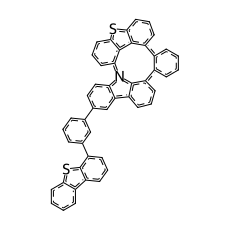 c1cc(-c2ccc3c(c2)c2cccc4c5ccccc5c5cccc6sc7cccc(c7c65)n3c42)cc(-c2cccc3c2sc2ccccc23)c1